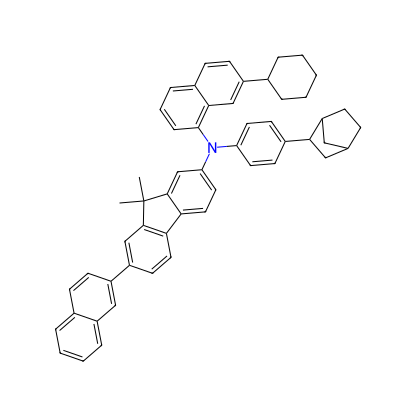 CC1(C)c2cc(-c3ccc4ccccc4c3)ccc2-c2ccc(N(c3ccc(C4CC5CCC4C5)cc3)c3cccc4ccc(C5CCCCC5)cc34)cc21